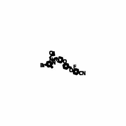 Cc1cc(Br)cc2c1nc(CN1CCC(Oc3cccc(COc4ccc(C#N)cc4F)c3)CC1)n2C[C@@H]1CCO1